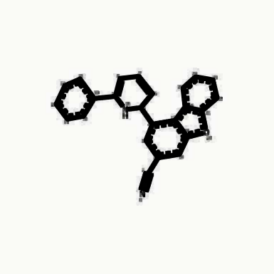 N#Cc1cc(C2C=CC=C(c3ccccc3)N2)c2c(c1)oc1ccccc12